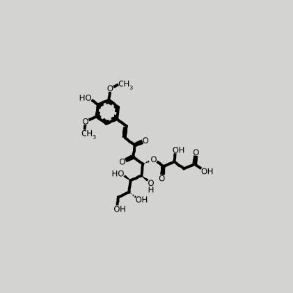 COc1cc(C=CC(=O)C(=O)[C@H](OC(=O)C(O)CC(=O)O)[C@@H](O)[C@H](O)[C@H](O)CO)cc(OC)c1O